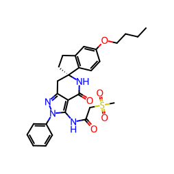 CCCCOc1ccc2c(c1)CC[C@]21Cc2nn(-c3ccccc3)c(NC(=O)CS(C)(=O)=O)c2C(=O)N1